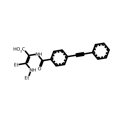 CCNC(CC)=C(NC(=O)c1ccc(C#Cc2ccccc2)cc1)C(=O)O